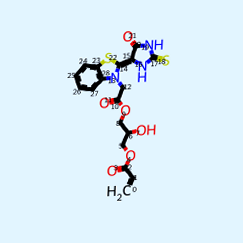 C=CC(=O)OCC(O)COC(=O)CN1/C(=C2\NC(=S)NC2=O)Sc2ccccc21